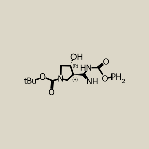 CC(C)(C)OC(=O)N1C[C@H](C(=N)NC(=O)OP)[C@@H](O)C1